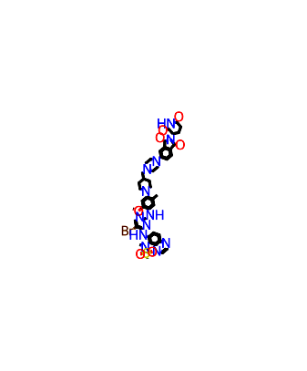 COc1cc(N2CCC(CN3CCN(c4ccc5c(c4)C(=O)N(C4CCC(=O)NC4=O)C5=O)CC3)CC2)c(C)cc1Nc1ncc(Br)c(Nc2ccc3nccnc3c2N(C)S(C)(=O)=O)n1